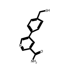 NC(=O)c1cncc(-c2ccc(CS)cc2)c1